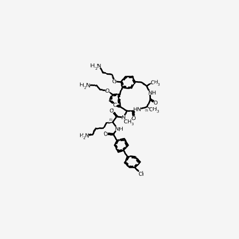 CC1Cc2ccc(OCCN)c(c2)-c2cc(ccc2OCCN)C(N(C)C(=O)[C@H](CCCCN)NC(=O)c2ccc(-c3ccc(Cl)cc3)cc2)C(=O)N[C@@H](C)C(=O)N1